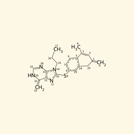 C=C1C=C(C)c2ccc(Sc3nc4c(n3CCC)N=CNC4=C)cc2C1